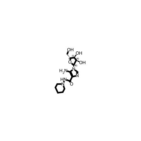 Nc1c(C(=O)NN2CCCCC2)ncn1[C@@H]1O[C@H](CO)[C@@H](O)[C@H]1O